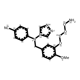 COc1ccc(CN(c2ccc(C#N)cc2)n2cnnc2)cc1OSOON